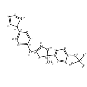 C[C@]1(c2ccc(OC(F)(F)F)cc2)CC(Oc2ccc(-n3cccn3)nc2)=NO1